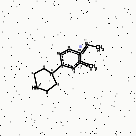 C=c1nc(N2CCNCC2)cc/c1=C/C